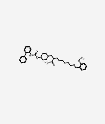 COc1ccccc1COCCCCCCC(CN1CCC(OC(=O)Nc2ccccc2-c2ccccc2)CC1)C(N)=O